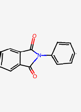 O=C1c2ccccc2C(=O)N1c1cc[c]cc1